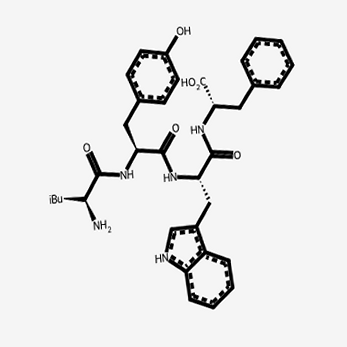 CC[C@H](C)[C@H](N)C(=O)N[C@@H](Cc1ccc(O)cc1)C(=O)N[C@@H](Cc1c[nH]c2ccccc12)C(=O)N[C@@H](Cc1ccccc1)C(=O)O